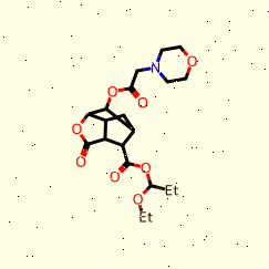 CCOC(CC)OC(=O)C1C2CC3C(OC(=O)C31)C2OC(=O)CN1CCOCC1